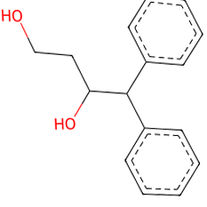 OCCC(O)C(c1ccccc1)c1ccccc1